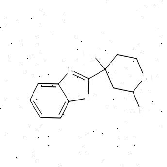 CCC1CC(O)(c2nc3ccccc3s2)CCN1